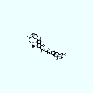 COc1c(N2CCNC(C)C2)c(F)cc2c(=O)c(C(=O)OCC(=O)Nc3ccc(CC(C=O)P(=O)(O)O)cc3)cn(C3CC3)c12